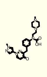 CN1CCN(CCN(C(=O)O)c2cccc(Cc3nn(-c4cnn(C)c4)ccc3=O)c2)CC1